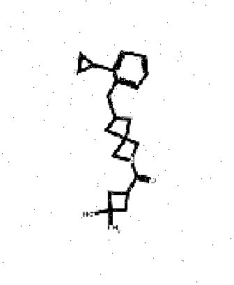 CC1(O)CC(C(=O)N2CC3(CC(Cc4ccccc4C4CC4)C3)C2)C1